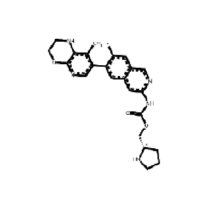 Cc1c(-c2cc3cc(NC(=O)OC[C@@H]4CCCN4)ncc3cc2F)cnc2c1NCCO2